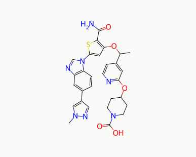 CC(Oc1cc(-n2cnc3cc(-c4cnn(C)c4)ccc32)sc1C(N)=O)c1ccnc(OC2CCN(C(=O)O)CC2)c1